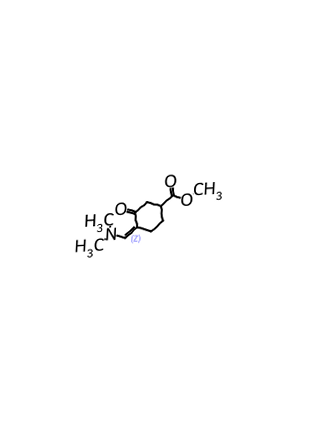 COC(=O)C1CC/C(=C/N(C)C)C(=O)C1